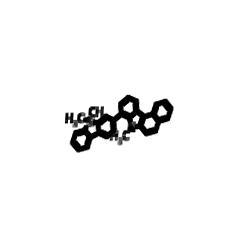 Cn1c2ccc3ccccc3c2c2cccc(-c3ccc4c(c3)[Si](C)(C)c3ccccc3-4)c21